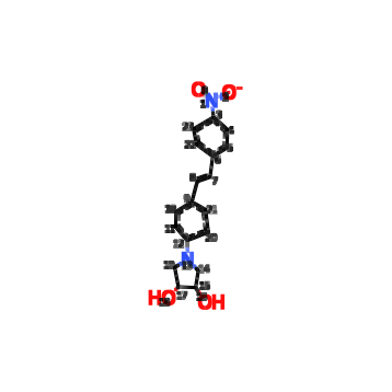 O=[N+]([O-])c1ccc(C=Cc2ccc(N3CC(O)C(O)C3)cc2)cc1